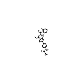 CCc1cc(C(=O)N2CCCCC2C)nc2cc(-c3ccc(NC(=O)C4CC4)cc3)nn12